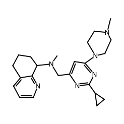 CN1CCN(c2cc(CN(C)C3CCCc4cccnc43)nc(C3CC3)n2)CC1